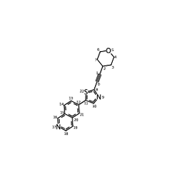 C(#CC1CCOCC1)c1ncc(-c2ccc3cnccc3c2)s1